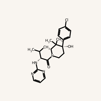 CC(C)[C@@H](Nc1ncccn1)C(=O)N1CC[C@](O)(c2ccc(Cl)cc2)C(C)(C)C1